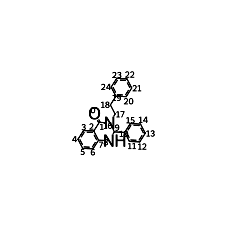 O=C1c2ccccc2NC(c2ccccc2)N1CCc1ccccc1